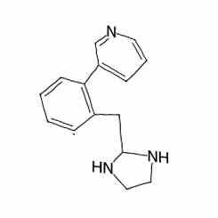 [c]1cccc(-c2cccnc2)c1CC1NCCN1